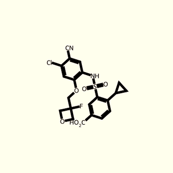 N#Cc1cc(NS(=O)(=O)c2cc(C(=O)O)ccc2C2CC2)c(OCC2(F)COC2)cc1Cl